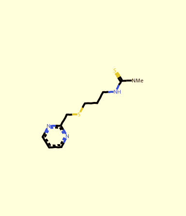 CNC(=S)NCCCSCc1ncccn1